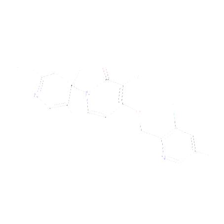 CC1=CN=C(C(=O)O)CC1(C)n1c(C)cc(OCc2ncc(F)cc2F)c(Cl)c1=O